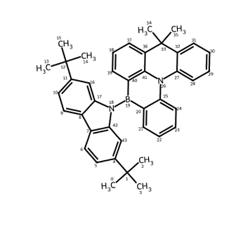 CC(C)(C)c1ccc2c3ccc(C(C)(C)C)cc3n(B3c4ccccc4N4c5ccccc5C(C)(C)c5cccc3c54)c2c1